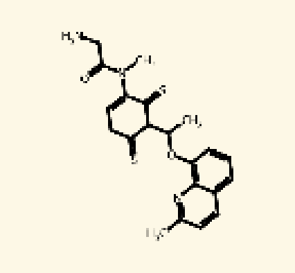 Cc1ccc2cccc(OC(C)C3C(=S)CC=C(N(C)C(=O)CN)C3=S)c2n1